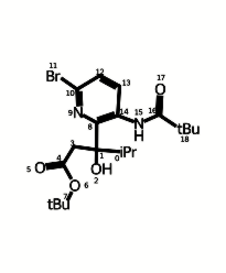 CC(C)C(O)(CC(=O)OC(C)(C)C)c1nc(Br)ccc1NC(=O)C(C)(C)C